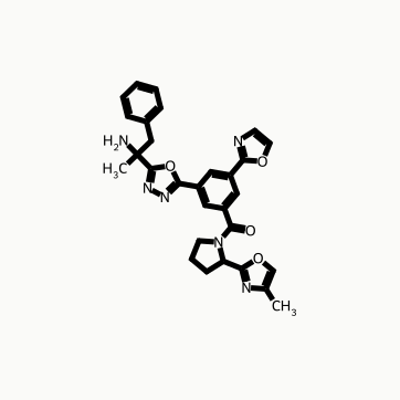 Cc1coc(C2CCCN2C(=O)c2cc(-c3ncco3)cc(-c3nnc(C(C)(N)Cc4ccccc4)o3)c2)n1